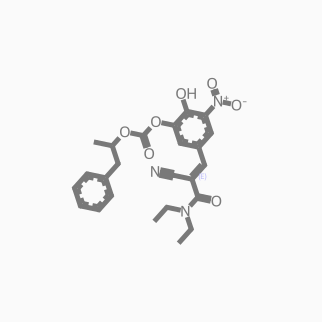 CCN(CC)C(=O)/C(C#N)=C/c1cc(OC(=O)OC(C)Cc2ccccc2)c(O)c([N+](=O)[O-])c1